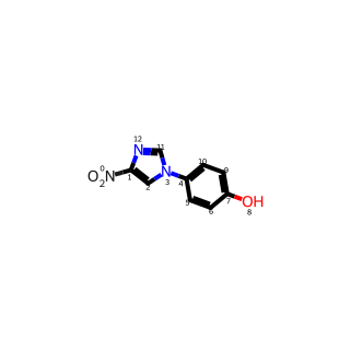 O=[N+]([O-])c1cn(-c2ccc(O)cc2)cn1